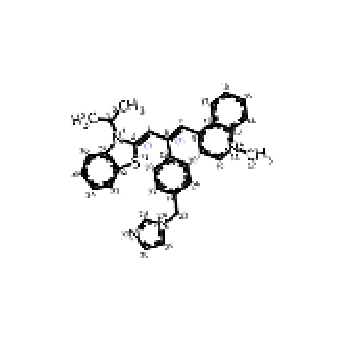 CC(C)N1/C(=C/C(=C/c2cc[n+](C)c3ccccc23)c2ccc(Cn3ccnc3)cc2)Sc2ccccc21